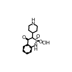 Cl.O=C1c2ccccc2NS(=O)(=O)C1C1CCNCC1